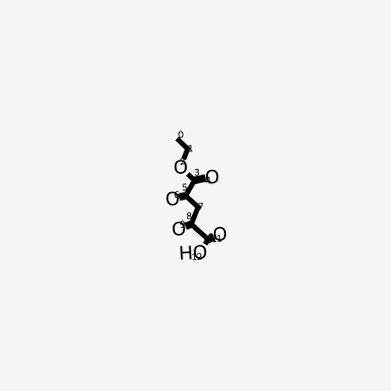 CCOC(=O)C(=O)CC(=O)C(=O)O